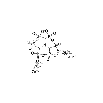 O=P([O-])([O-])C(N(C(P(=O)([O-])[O-])P(=O)([O-])[O-])C(P(=O)([O-])[O-])P(=O)([O-])[O-])P(=O)([O-])[O-].[Zn+2].[Zn+2].[Zn+2].[Zn+2].[Zn+2].[Zn+2]